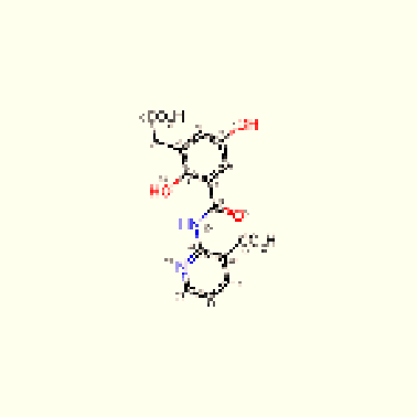 O=C(O)Cc1cc(O)cc(C(=O)Nc2ncccc2C(=O)O)c1O